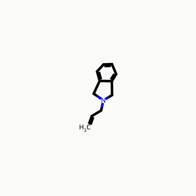 C=CCN1Cc2ccccc2C1